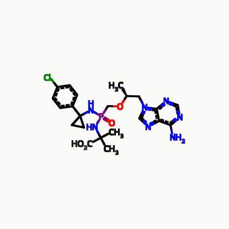 C[C@@H](Cn1cnc2c(N)ncnc21)OCP(=O)(NC(C)(C)C(=O)O)NC1(c2ccc(Cl)cc2)CC1